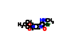 CNc1cc2n(c(=O)c1Br)CC1CC2CN(C(=O)OC(C)(C)C)C1